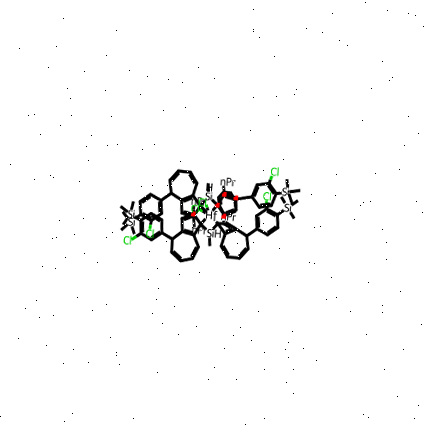 CCCC1=CC2=C(C=CC=CC2c2ccc([Si](C)(C)C)c(Cl)c2)[C]12[SiH](C)[C]1(C(CCC)=CC3=C1C=CC=CC3c1ccc([Si](C)(C)C)c(Cl)c1)[Hf]21([Cl])([Cl])[C]2(C(CCC)=CC3=C2C=CC=CC3c2ccc([Si](C)(C)C)c(Cl)c2)[SiH](C)[C]12C(CCC)=CC1=C2C=CC=CC1c1ccc([Si](C)(C)C)c(Cl)c1